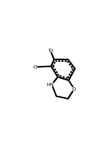 CCc1ccc2c(c1Cl)NCCO2